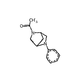 CC(=O)N1CC2CC1CN2c1ccccc1